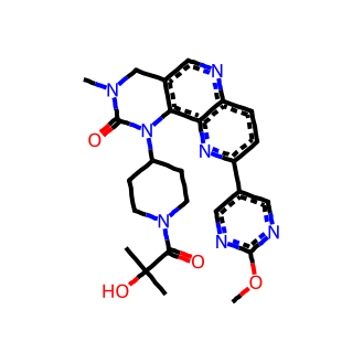 COc1ncc(-c2ccc3ncc4c(c3n2)N(C2CCN(C(=O)C(C)(C)O)CC2)C(=O)N(C)C4)cn1